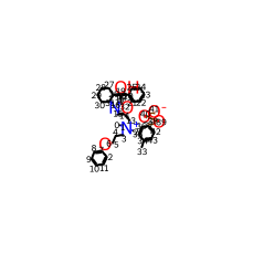 C[N+](C)(CCCOc1ccccc1)Cc1cnc([C@](O)(c2ccccc2)C2CCCCC2)o1.Cc1ccc(S(=O)(=O)[O-])cc1